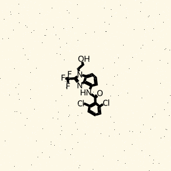 O=C(Nc1cccc2c1nc(C(F)(F)F)n2CCO)c1c(Cl)cccc1Cl